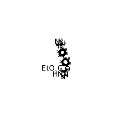 CCOC(=O)c1[nH]nnc1O[C@H]1CC[C@H](c2ccc(-n3cncn3)cc2)CC1